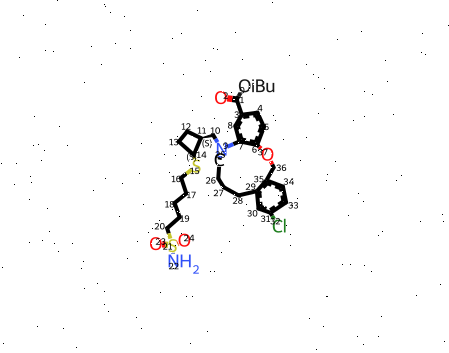 CC(C)COC(=O)c1ccc2c(c1)N(C[C@@H]1CC[C@@H]1SCCCCCS(N)(=O)=O)CCCCc1cc(Cl)ccc1CO2